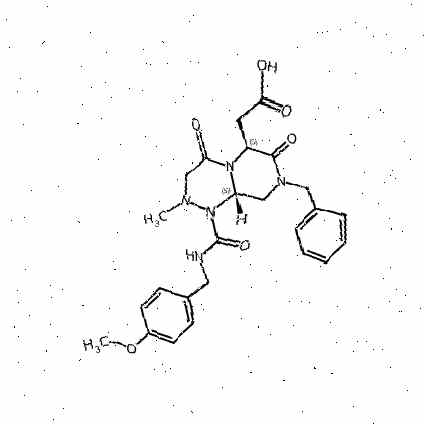 COc1ccc(CNC(=O)N2[C@H]3CN(Cc4ccccc4)C(=O)[C@H](CC(=O)O)N3C(=O)CN2C)cc1